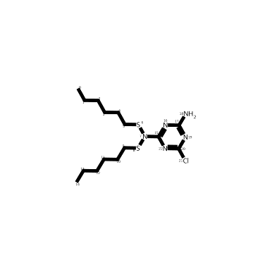 CCCCCCSN(SCCCCCC)c1nc(N)nc(Cl)n1